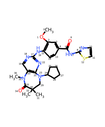 COc1cc(C(=O)Nc2nccs2)ccc1Nc1ncc2c(n1)N(C1CCCC1)CC(C)(C)C(=O)N2C